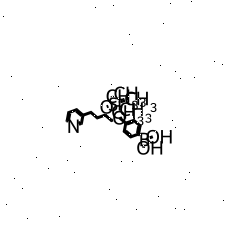 CC(C)(C)[Si](C)(C)OC(CCc1cccnc1)COc1ccc(B(O)O)cc1